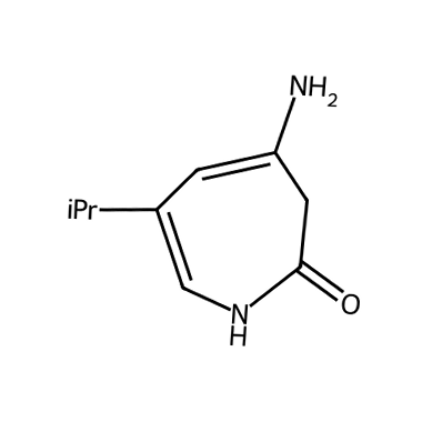 CC(C)C1=CNC(=O)CC(N)=C1